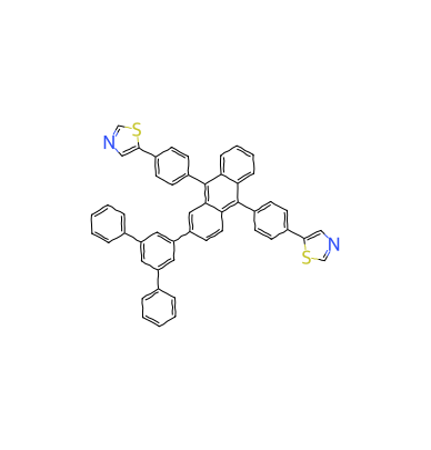 c1ccc(-c2cc(-c3ccccc3)cc(-c3ccc4c(-c5ccc(-c6cncs6)cc5)c5ccccc5c(-c5ccc(-c6cncs6)cc5)c4c3)c2)cc1